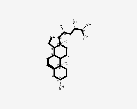 CCC[C@H](C(C)C)[C@@H](O)C[C@@H](C)[C@H]1CCC2C3CC=C4C[C@@H](O)CC[C@]4(C)C3CC[C@@]21C